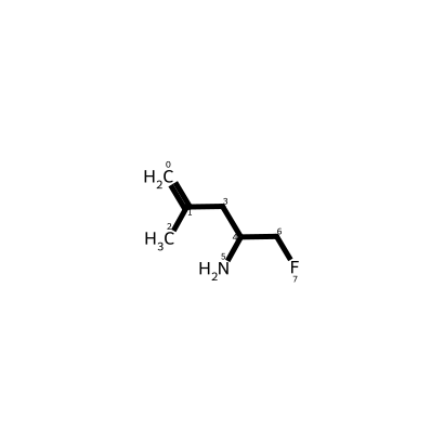 C=C(C)CC(N)CF